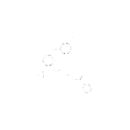 O=C(NCCCNc1nc(Nc2cccc(O)c2)ncc1C1CC1)c1cccs1